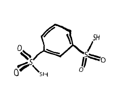 O=S(=O)(S)c1cccc(S(=O)(=O)S)c1